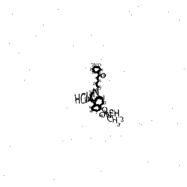 CN(C)C(=O)Oc1cccc2c1CCC1C2CCN1CCCCC(=O)c1ccccc1.Cl